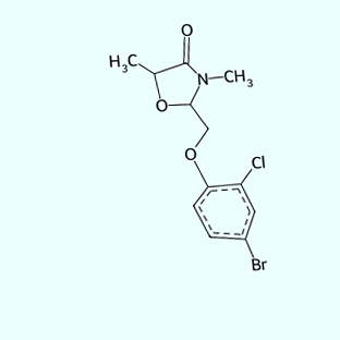 CC1OC(COc2ccc(Br)cc2Cl)N(C)C1=O